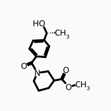 COC(=O)C1CCCN(C(=O)c2ccc([C@@H](C)O)cc2)C1